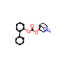 C[N+]12CCC(CC1)C(OC(=O)Oc1ccccc1-c1ccccc1)C2